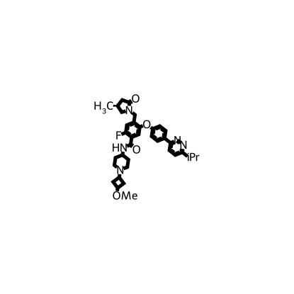 COC1CC(N2CCC(NC(=O)c3cc(Oc4ccc(-c5ccc(C(C)C)nn5)cc4)c(CN4C[C@@H](C)CC4=O)cc3F)CC2)C1